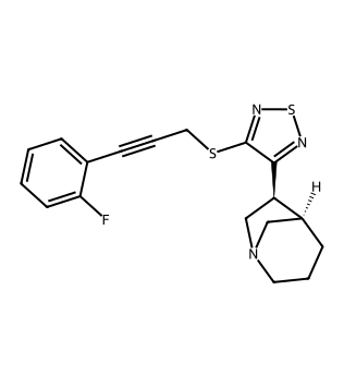 Fc1ccccc1C#CCSc1nsnc1[C@@H]1CN2CCC[C@H]1C2